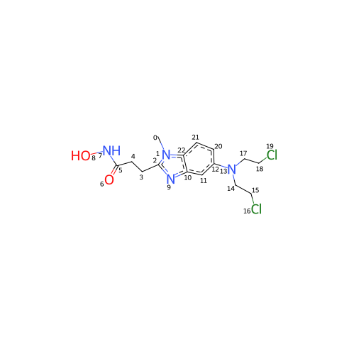 Cn1c(CCC(=O)NO)nc2cc(N(CCCl)CCCl)ccc21